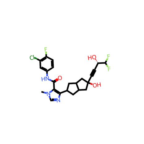 Cn1cnc(C2CC3CC(O)(C#C[C@H](O)C(F)F)CC3C2)c1C(=O)Nc1ccc(F)c(Cl)c1